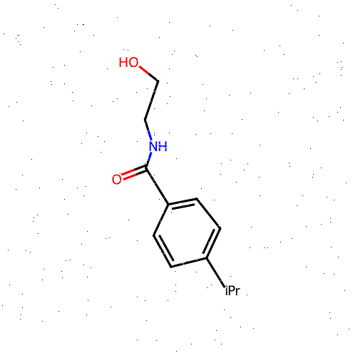 CC(C)c1ccc(C(=O)NCCO)cc1